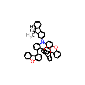 CC1(C)c2ccccc2-c2ccc(N(c3ccc4c(c3)C3(c5ccccc5O4)c4ccccc4-c4ccccc43)c3cccc(-c4cccc5oc6ccccc6c45)c3-c3ccccc3)cc21